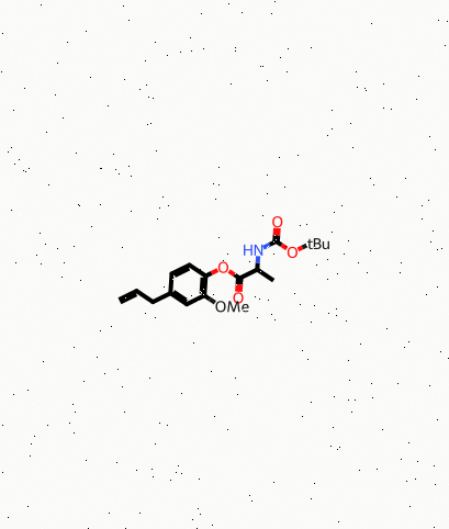 C=CCc1ccc(OC(=O)C(C)NC(=O)OC(C)(C)C)c(OC)c1